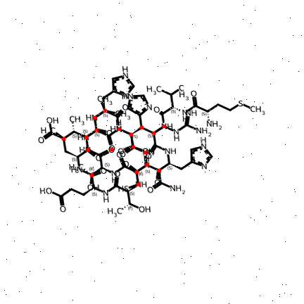 CC[C@H](C)[C@H](NC(=O)[C@@H](NC(=O)[C@H](CS)NC(=O)[C@H](Cc1c[nH]cn1)NC(=O)[C@H](Cc1c[nH]cn1)NC(=O)[C@@H](NC(=O)[C@@H](N)CCSC)C(C)C)[C@@H](C)O)C(=O)N[C@@H](Cc1c[nH]cn1)C(=O)NCC(=O)N[C@@H](CC(N)=O)C(=O)N[C@H](C(=O)N[C@@H](CCC(=O)O)C(=O)N[C@@H](CCC(=O)O)C(=O)N[C@@H](CC(C)C)C(=O)N[C@@H](CCCNC(=N)N)C(=O)O)[C@@H](C)O